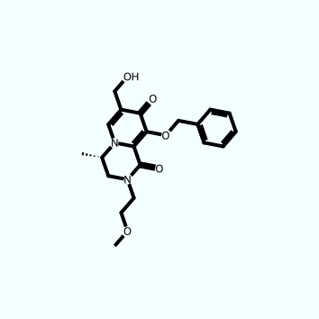 COCCN1C[C@H](C)n2cc(CO)c(=O)c(OCc3ccccc3)c2C1=O